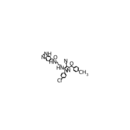 Cc1ccc(C(=O)c2nn(-c3ccc(Cl)cc3)c(NCCCNC(=O)c3ccc4nc[nH]c4c3)c2C#N)cc1